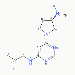 CC(C)CNc1cc(N2CC[C@@H](N(C)C)C2)ncn1